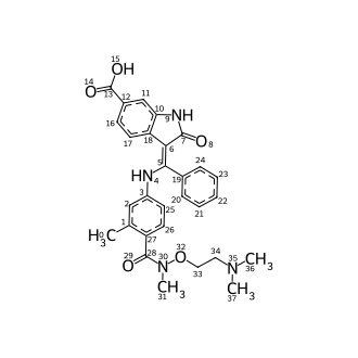 Cc1cc(N/C(=C2/C(=O)Nc3cc(C(=O)O)ccc32)c2ccccc2)ccc1C(=O)N(C)OCCN(C)C